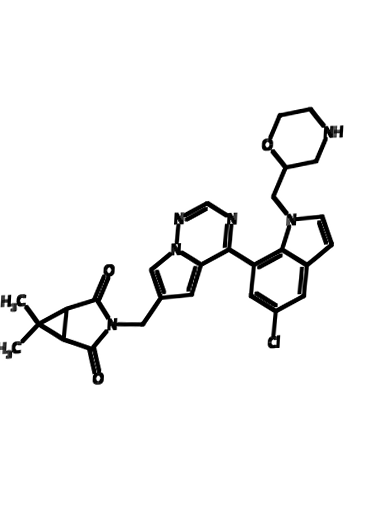 CC1(C)C2C(=O)N(Cc3cc4c(-c5cc(Cl)cc6ccn(CC7CNCCO7)c56)ncnn4c3)C(=O)C21